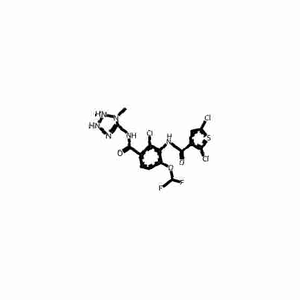 CN1NNN=C1NC(=O)c1ccc(OC(F)F)c(NC(=O)c2cc(Cl)sc2Cl)c1Cl